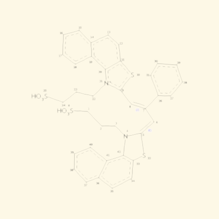 O=S(=O)(O)CCCN1/C(=C\C(=C\c2sc3ccc4ccccc4c3[n+]2CCCS(=O)(=O)O)c2ccccc2)Sc2ccc3ccccc3c21